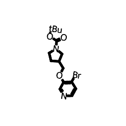 CC(C)(C)OC(=O)N1CCC(COc2cnccc2Br)C1